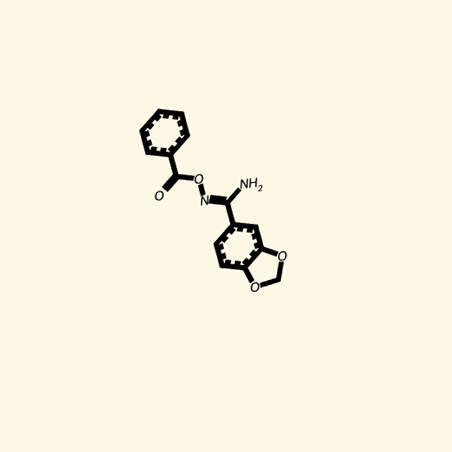 N/C(=N\OC(=O)c1ccccc1)c1ccc2c(c1)OCO2